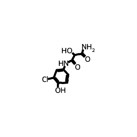 NC(=O)C(O)C(=O)Nc1ccc(O)c(Cl)c1